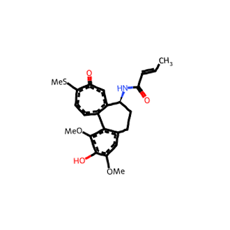 C/C=C/C(=O)N[C@H]1CCc2cc(OC)c(O)c(OC)c2-c2ccc(SC)c(=O)cc21